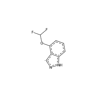 FC(F)Oc1cccc2[nH]n[c]c12